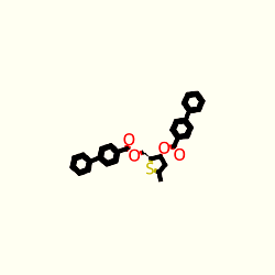 CC1C[C@H](OC(=O)c2ccc(-c3ccccc3)cc2)[C@@H](COC(=O)c2ccc(-c3ccccc3)cc2)S1